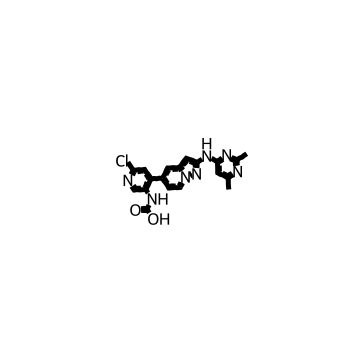 Cc1cc(Nc2cc3cc(-c4cc(Cl)ncc4NC(=O)O)ccn3n2)nc(C)n1